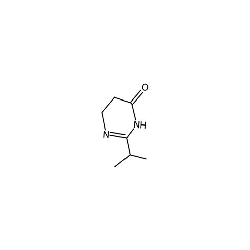 CC(C)C1=NCCC(=O)N1